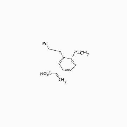 C=CC(=O)O.C=Cc1ccccc1CCC(C)C